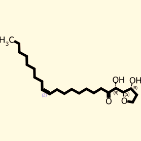 CCCCCCCC/C=C\CCCCCCCC(=O)[C@H](O)[C@H]1OCC[C@H]1O